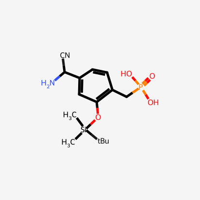 CC(C)(C)[Si](C)(C)Oc1cc(C(N)C#N)ccc1CP(=O)(O)O